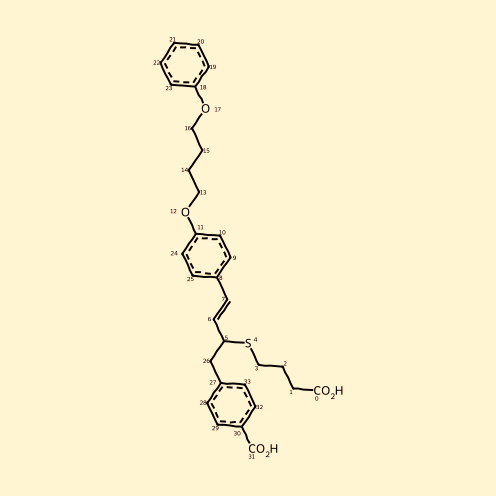 O=C(O)CCCSC(/C=C/c1ccc(OCCCCOc2ccccc2)cc1)Cc1ccc(C(=O)O)cc1